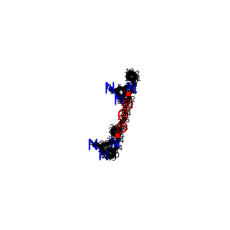 N#CC(C#N)=C/C=C/N(Cc1ccccc1)Cc1cccc(OCCOCCOc2cccc(CN(/C=C/C=C(C#N)C#N)Cc3ccccc3)c2)c1